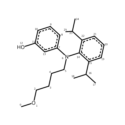 COCCCCN(c1cccc(O)c1)c1c(C(C)C)cccc1C(C)C